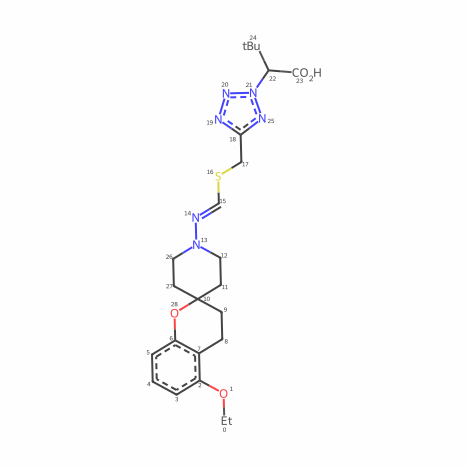 CCOc1cccc2c1CCC1(CCN(N=CSCc3nnn(C(C(=O)O)C(C)(C)C)n3)CC1)O2